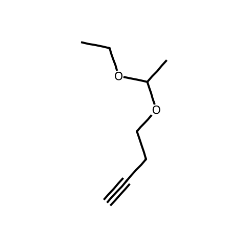 C#CCCOC(C)OCC